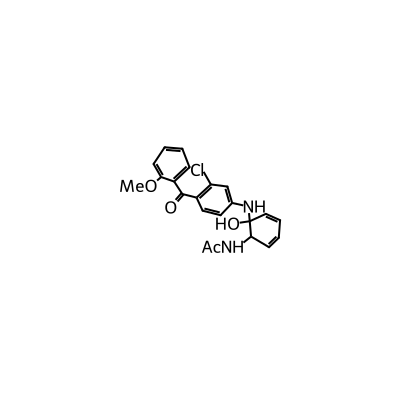 COc1ccccc1C(=O)c1ccc(NC2(O)C=CC=CC2NC(C)=O)cc1Cl